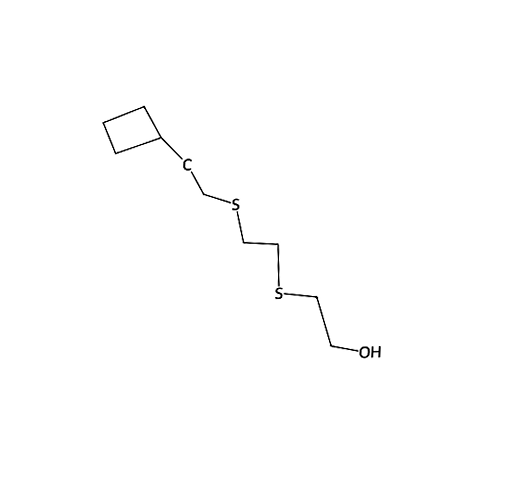 OCCSCCSCCC1CCC1